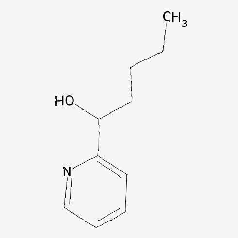 CCCCC(O)c1ccccn1